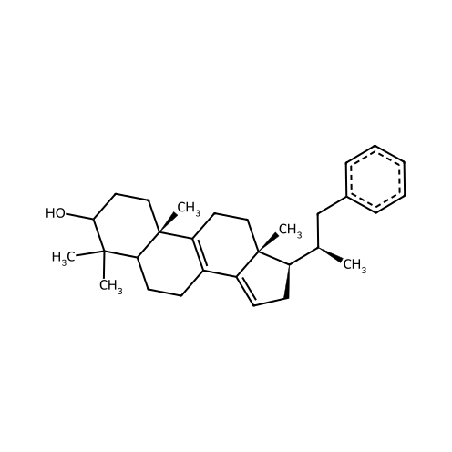 C[C@H](Cc1ccccc1)[C@H]1CC=C2C3=C(CC[C@@]21C)[C@@]1(C)CCC(O)C(C)(C)C1CC3